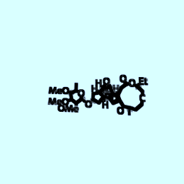 CC[C@H]1CCCC[C@@H](C)C(=O)C2=C[C@H]3[C@@H]4C[C@H](O[C@@H]5OC(C)[C@H](OC)C(OC)C5OC)C[C@H]4[C@H]4O[C@H]4[C@H]3[C@@H]2CC(=O)O1